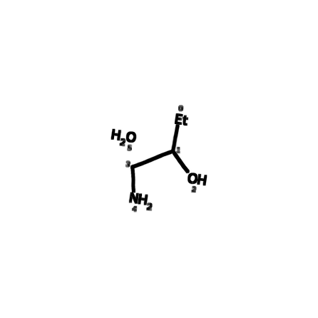 CCC(O)CN.O